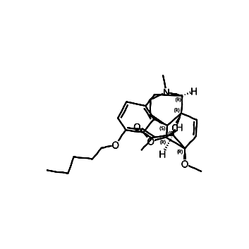 CCCCCOc1ccc2c3c1O[C@H]1[C@@]4(OC)C=C[C@@]5(C[C@@H]4C(C)=O)[C@@H](C2)N(C)CC[C@]315